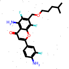 CC(C)CCCOCc1c(F)c(N)c2c(=O)cc(-c3ccc(N)c(F)c3)oc2c1F